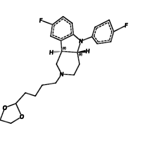 Fc1ccc(N2c3ccc(F)cc3[C@@H]3CN(CCCCC4OCCO4)CC[C@H]32)cc1